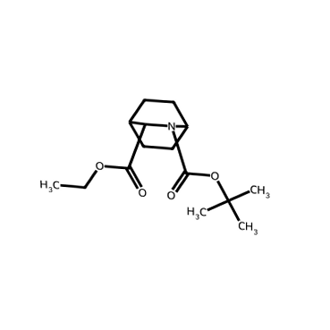 CCOC(=O)C1C2CCC(CC2)N1C(=O)OC(C)(C)C